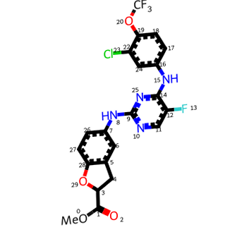 COC(=O)C1Cc2cc(Nc3ncc(F)c(Nc4ccc(OC(F)(F)F)c(Cl)c4)n3)ccc2O1